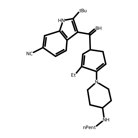 B=C(c1c(C(C)(C)C)[nH]c2cc(C#N)ccc12)C1C=C(CC)C(N2CCC(NCCCCC)CC2)=CC1